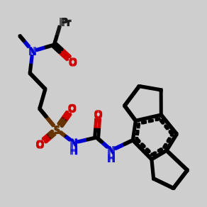 CC(C)C(=O)N(C)CCCS(=O)(=O)NC(=O)Nc1c2c(cc3c1CCC3)CCC2